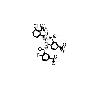 O=[N+]([O-])c1ccc(Cl)c([N+](=O)[O-])c1.O=[N+]([O-])c1ccc(F)c([N+](=O)[O-])c1.O=[N+]([O-])c1cccc(Cl)c1[N+](=O)[O-]